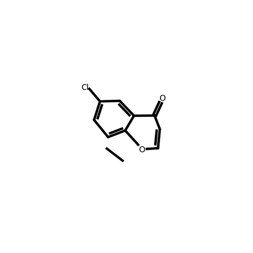 CC.O=c1ccoc2ccc(Cl)cc12